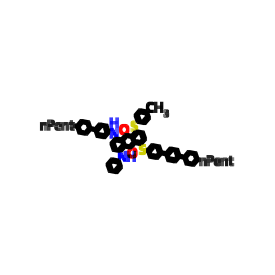 CCCCCC1CCC(c2ccc(Nc3ccc(Nc4ccccc4)c4c3C(=O)c3c(Sc5ccc(C)cc5)ccc(Sc5ccc(-c6ccc(C7CCC(CCCCC)CC7)cc6)cc5)c3C4=O)cc2)CC1